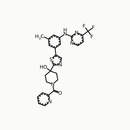 Cc1cc(Nc2nccc(C(F)(F)F)n2)cc(-c2cnc(C3(O)CCN(C(=O)c4ccccn4)CC3)s2)c1